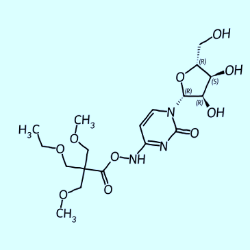 CCOCC(COC)(COC)C(=O)ONc1ccn([C@@H]2O[C@H](CO)[C@@H](O)[C@H]2O)c(=O)n1